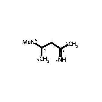 [CH2]C(=N)CC(C)NC